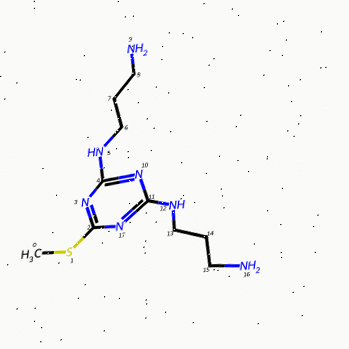 CSc1nc(NCCCN)nc(NCCCN)n1